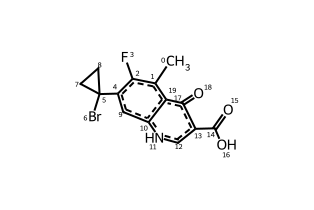 Cc1c(F)c(C2(Br)CC2)cc2[nH]cc(C(=O)O)c(=O)c12